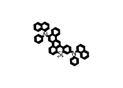 C[Si]1(C)c2cc(N(c3ccccc3)c3cccc4ccccc34)ccc2-c2cc3c4ccccc4c(N(c4ccccc4)c4cccc5ccccc45)cc3c3cccc1c23